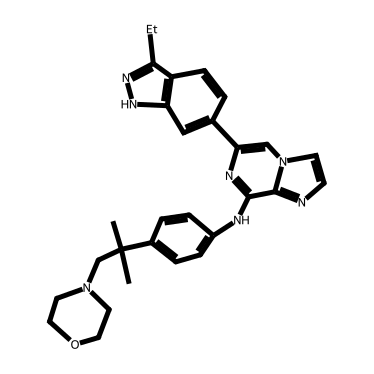 CCc1n[nH]c2cc(-c3cn4ccnc4c(Nc4ccc(C(C)(C)CN5CCOCC5)cc4)n3)ccc12